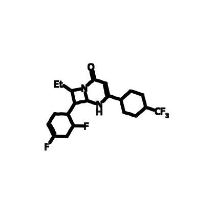 CCC1C(C2CC=C(F)CC2F)C2NC(C3CCC(C(F)(F)F)CC3)=CC(=O)N12